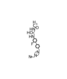 CC(=O)NC[C@H](O)CNc1ccc(-c2ccc(CN3CCN(CC#N)CC3)cc2)c(F)c1